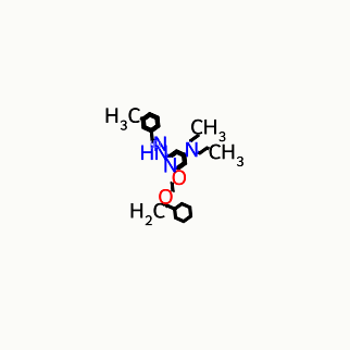 C=C(OCCOc1cc(N(CCC)CCC)cc(N/N=C/c2cccc(C)c2)n1)C1CCCCC1